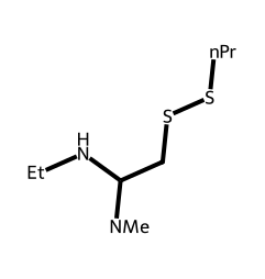 CCCSSCC(NC)NCC